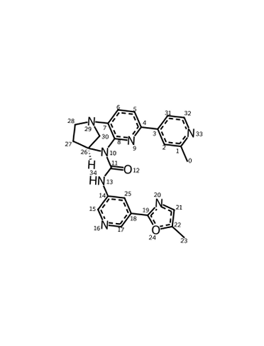 Cc1cc(-c2ccc3c(n2)N(C(=O)Nc2cncc(-c4ncc(C)o4)c2)[C@H]2CCN3C2)ccn1